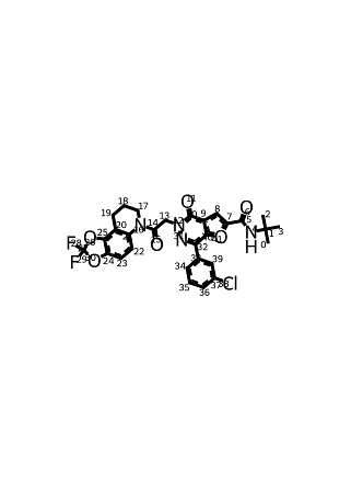 CC(C)(C)NC(=O)c1cc2c(=O)n(CC(=O)N3CCCc4c3ccc3c4OC(F)(F)O3)nc(-c3cccc(Cl)c3)c2o1